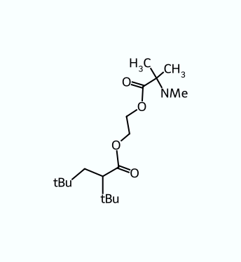 CNC(C)(C)C(=O)OCCOC(=O)C(CC(C)(C)C)C(C)(C)C